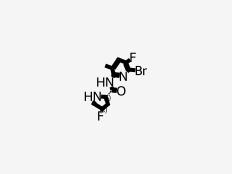 Cc1cc(F)c(Br)nc1NC(=O)[C@@H]1C[C@@H](F)CN1